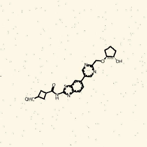 O=CC1CC(C(=O)Nc2nc3ccc(-c4cnc(CO[C@H]5CCC[C@@H]5O)nc4)cc3s2)C1